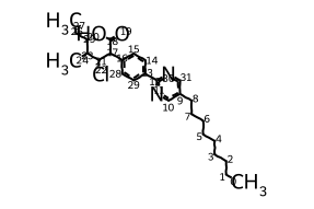 CCCCCCCCCc1cnc(-c2ccc(C(C(=O)O)C(Cl)C(C)CCC)cc2)nc1